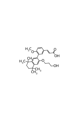 COc1ccc(C=CC(=O)O)cc1-c1cc2c(cc1OCCCO)C(C)(C)CCC2(C)C